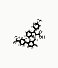 COc1ccc(C2c3ccccc3N(Cc3cc(-c4ccc(C(=O)O)cc4)ccc3C)C2C(=O)O)cn1